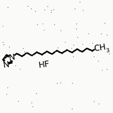 CCCCCCCCCCCCCCCCCn1ccnc1.F